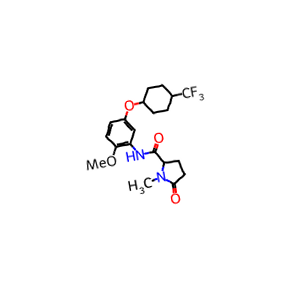 COc1ccc(OC2CCC(C(F)(F)F)CC2)cc1NC(=O)C1CCC(=O)N1C